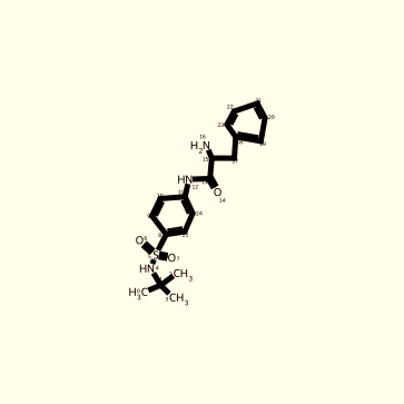 CC(C)(C)NS(=O)(=O)c1ccc(NC(=O)C(N)Cc2ccccc2)cc1